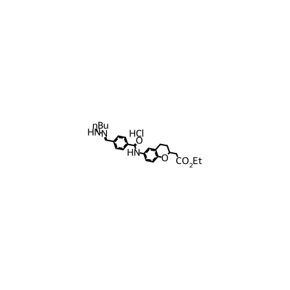 CCCCNN=Cc1ccc(C(=O)Nc2ccc3c(c2)CCC(CC(=O)OCC)O3)cc1.Cl